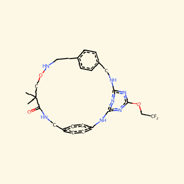 CC1(C)CONCc2ccc(cc2)CNc2nc(nc(OCC(F)(F)F)n2)Nc2ccc(cc2)CNC1=O